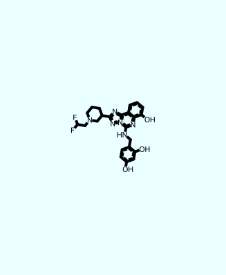 Oc1ccc(CNc2nc3c(O)cccc3c3nc(C4CCCN(CC(F)F)C4)nn23)c(O)c1